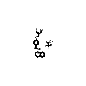 NCC(=CF)COc1ccc(C(=O)N[C@H]2CCCc3ccccc32)cc1.O=C(O)C(F)(F)F